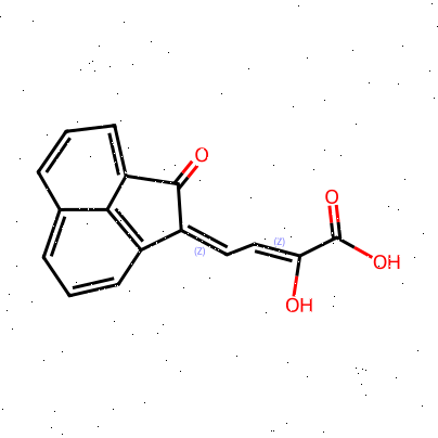 O=C(O)/C(O)=C/C=c1\c(=O)c2cccc3cccc1c32